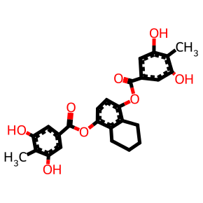 Cc1c(O)cc(C(=O)Oc2ccc(OC(=O)c3cc(O)c(C)c(O)c3)c3c2CCCC3)cc1O